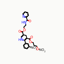 O=C(OCCNC(=O)c1ccccn1)C1=CNC(c2cccc([N+](=O)[O-])c2)=C(C(=O)OCCCO[N+](=O)[O-])C1